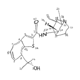 CC(C)(O)c1cccc2cc(C(=O)N[C@H]3C4CCN(CC4)C3(C)C)sc12